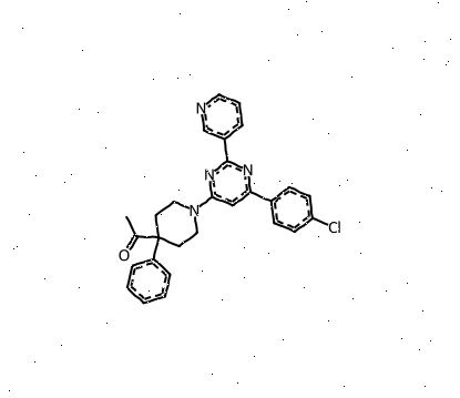 CC(=O)C1(c2ccccc2)CCN(c2cc(-c3ccc(Cl)cc3)nc(-c3cccnc3)n2)CC1